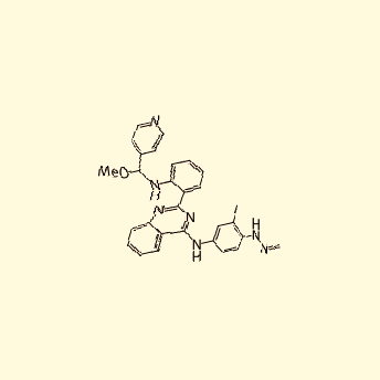 C=NNc1ccc(Nc2nc(-c3ccccc3NC(OC)c3ccncc3)nc3ccccc23)cc1C